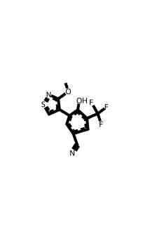 COc1nscc1-c1cc(C#N)cc(C(F)(F)F)c1O